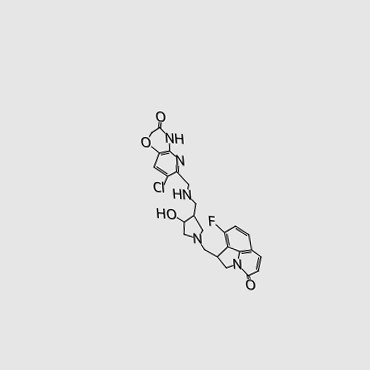 O=C1COc2cc(Cl)c(CNCC3CN(CC4Cn5c(=O)ccc6ccc(F)c4c65)CC3O)nc2N1